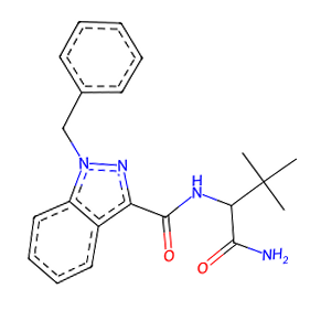 CC(C)(C)C(NC(=O)c1nn(Cc2ccccc2)c2ccccc12)C(N)=O